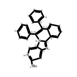 CC(C)(C)c1cc2nc3c4ccccc4c(-c4ccccc4)c(-c4ccccc4)n3c2cn1